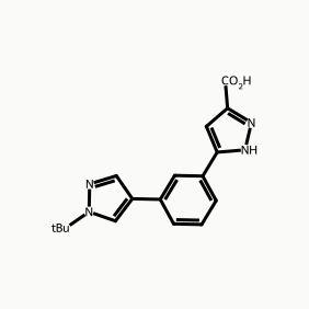 CC(C)(C)n1cc(-c2cccc(-c3cc(C(=O)O)n[nH]3)c2)cn1